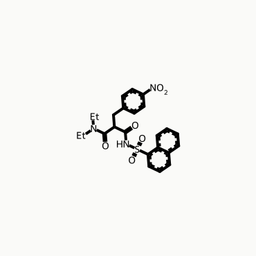 CCN(CC)C(=O)C(Cc1ccc([N+](=O)[O-])cc1)C(=O)NS(=O)(=O)c1cccc2ccccc12